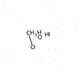 C[O].I.[OH]